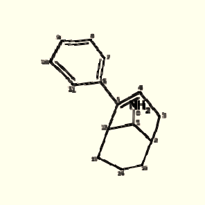 NC1C2CC=C(c3ccccc3)C1CCC2